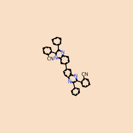 N#Cc1ccccc1-c1nc2cc(-c3ccc4nc(-c5ccccc5)c(-c5ccccc5C#N)nc4c3)ccc2nc1-c1ccccc1